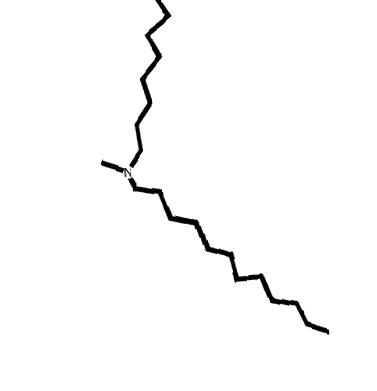 CCCCCCCCCCCCN(C)CCCCCCCC